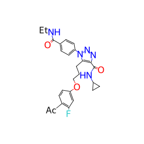 CCNC(=O)c1ccc(-n2nnc(C(=O)NC3CC3)c2CCCOc2ccc(C(C)=O)c(F)c2)cc1